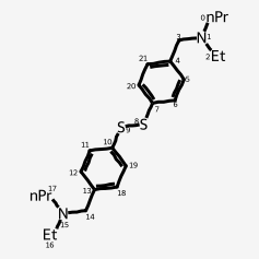 CCCN(CC)Cc1ccc(SSc2ccc(CN(CC)CCC)cc2)cc1